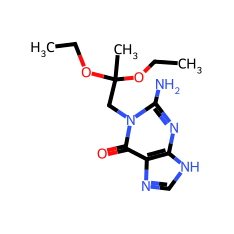 CCOC(C)(Cn1c(N)nc2[nH]cnc2c1=O)OCC